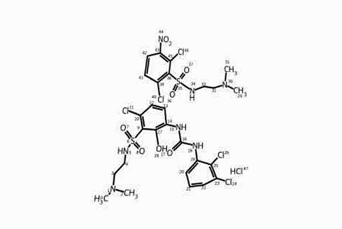 CN(C)CCNS(=O)(=O)c1c(Cl)ccc(NC(=O)Nc2cccc(Cl)c2Cl)c1O.CN(C)CCNS(=O)(=O)c1c(Cl)ccc([N+](=O)[O-])c1Cl.Cl